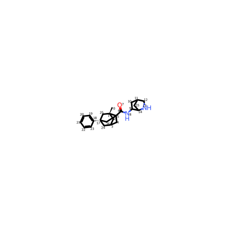 C[C@]12CC3CC1(C(=O)NC1CC4CNC1C4)C[C@@](c1ccccc1)(C3)C2